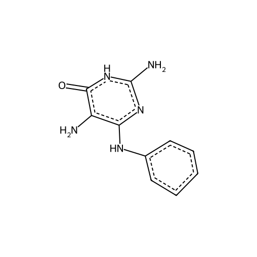 Nc1nc(Nc2ccccc2)c(N)c(=O)[nH]1